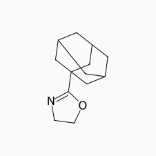 C1COC(C23CC4CC(CC(C4)C2)C3)=N1